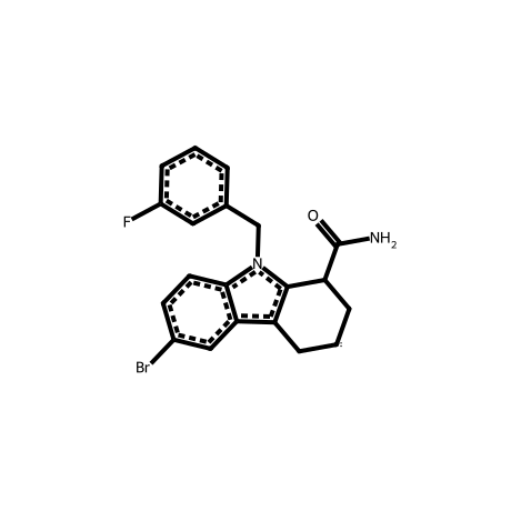 NC(=O)C1C[C]Cc2c1n(Cc1cccc(F)c1)c1ccc(Br)cc21